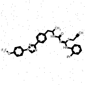 C#CCS/C(=N\C(=O)NC(C)Cc1ccc(-c2ncn(-c3ccc(OC(F)(F)F)cc3)n2)cc1)Nc1ccccc1C(C)C